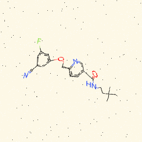 CC(C)(C)CCNC(=O)c1ccc(COc2cc(F)cc(C#N)c2)nc1